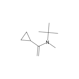 C=C(C1CC1)N(C)C(C)(C)C